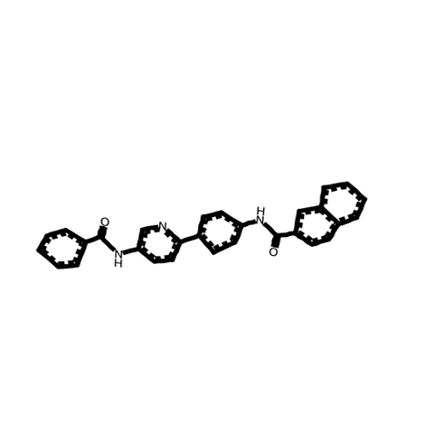 O=C(Nc1ccc(-c2ccc(NC(=O)c3ccc4ccccc4c3)cc2)nc1)c1ccccc1